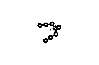 O=c1n(C2=CC(c3ccc(-c4ccccc4)cc3)=CCC2)c2ccccc2n1-c1cccc(-c2ccc(-c3ccccc3)cc2)c1